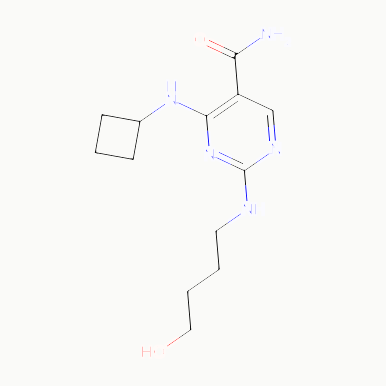 NC(=O)c1cnc(NCCCCO)nc1NC1CCC1